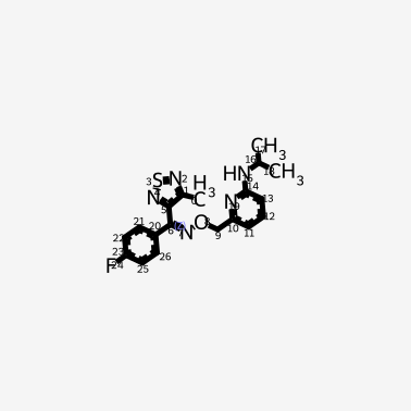 Cc1nsnc1/C(=N\OCc1cccc(NC(C)C)n1)c1ccc(F)cc1